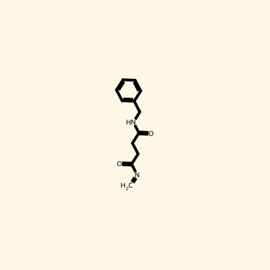 C=NC(=O)CCC(=O)NCc1ccccc1